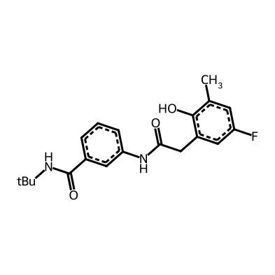 Cc1cc(F)cc(CC(=O)Nc2cccc(C(=O)NC(C)(C)C)c2)c1O